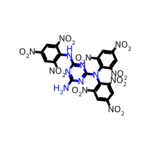 Nc1nc(Nc2c([N+](=O)[O-])cc([N+](=O)[O-])cc2[N+](=O)[O-])nc(N(c2c([N+](=O)[O-])cc([N+](=O)[O-])cc2[N+](=O)[O-])c2c([N+](=O)[O-])cc([N+](=O)[O-])cc2[N+](=O)[O-])n1